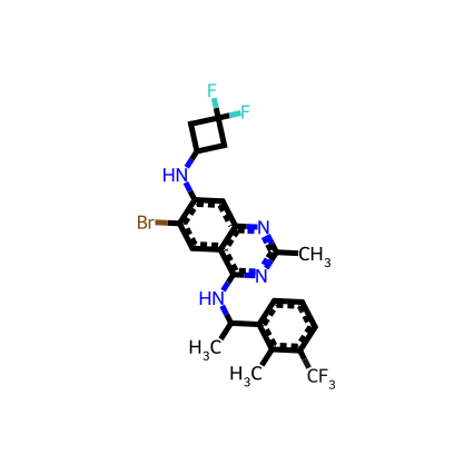 Cc1nc(NC(C)c2cccc(C(F)(F)F)c2C)c2cc(Br)c(NC3CC(F)(F)C3)cc2n1